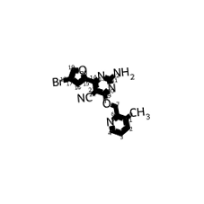 Cc1cccnc1COc1nc(N)nc(-c2cc(Br)co2)c1C#N